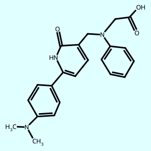 CN(C)c1ccc(-c2ccc(CN(CC(=O)O)c3ccccc3)c(=O)[nH]2)cc1